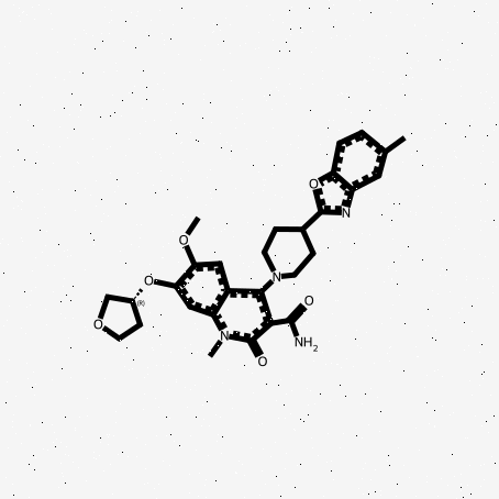 COc1cc2c(N3CCC(c4nc5cc(C)ccc5o4)CC3)c(C(N)=O)c(=O)n(C)c2cc1O[C@@H]1CCOC1